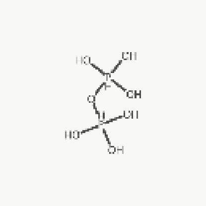 O[PH](O)(O)O[PH](O)(O)O